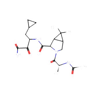 CC[C@H](C)C(=O)N[C@H](C(=O)N1CC2C(C1C(=O)NC(CC1CC1)C(=O)C(N)=O)C2(C)C)C(C)C